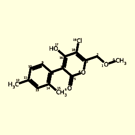 COCc1oc(=O)c(-c2ccc(C)cc2C)c(O)c1Cl